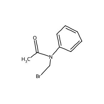 CC(=O)N(CBr)c1ccccc1